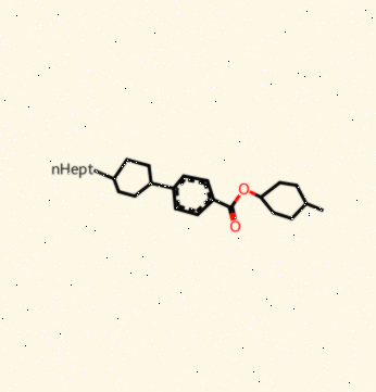 CCCCCCCC1CCC(c2ccc(C(=O)OC3CCC(C)CC3)cc2)CC1